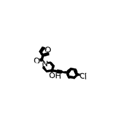 O=C(c1ccoc1)N1CCC(O)(C#Cc2ccc(Cl)cc2)CC1